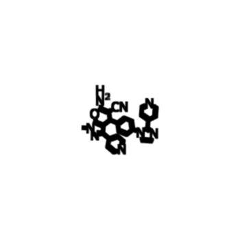 Cn1nc(-c2ccncc2)c2c1OC(N)=C(C#N)C2c1ccc(-n2ccnc2-c2ccncc2)cc1